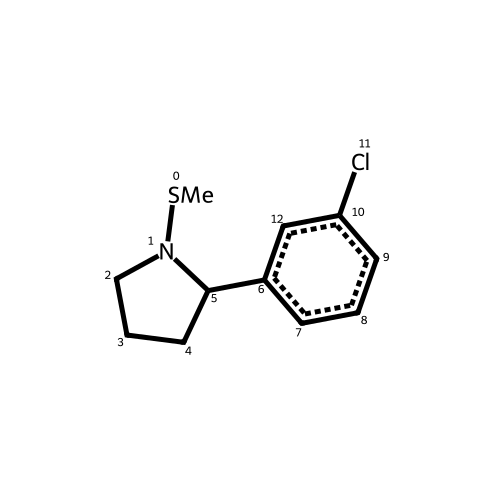 CSN1CCCC1c1cccc(Cl)c1